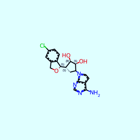 Nc1ncnc2c1ccn2C1C[C@H]([C@@H]2OCc3cc(Cl)ccc32)[C@@H](O)[C@H]1O